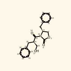 O=C1OC[C@H](Cc2ccccc2)N1C(=O)[C@@H](CO)Cc1ccccc1